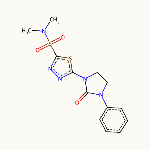 CN(C)S(=O)(=O)c1nnc(N2CCN(c3ccccc3)C2=O)s1